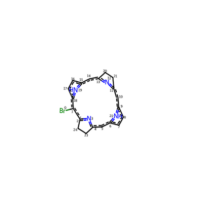 Brc1c2nc(cc3ccc(cc4nc(cc5ccc1[nH]5)CC4)[nH]3)CC2